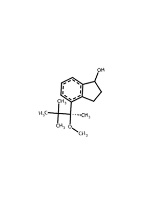 CO[C@](C)(c1cccc2c1CCC2O)C(C)(C)C